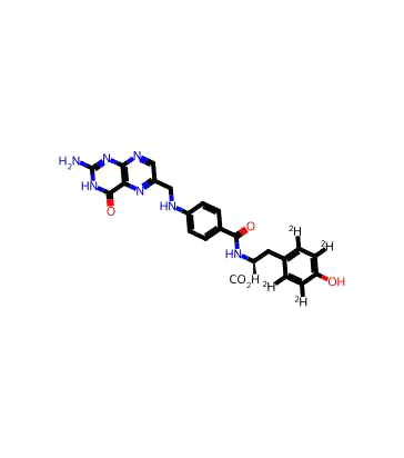 [2H]c1c([2H])c(C[C@H](NC(=O)c2ccc(NCc3cnc4nc(N)[nH]c(=O)c4n3)cc2)C(=O)O)c([2H])c([2H])c1O